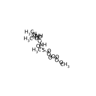 COCCOC(=O)COC(=O)COC(=O)CCSCC(C)C(=O)Nc1ccc(S(=O)(=O)Nc2nc(C)cc(C)n2)cc1